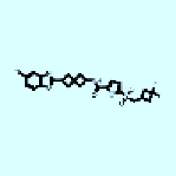 O=C(NC1CC2(C1)CC(c1nc3cc(Cl)ccc3o1)C2)c1ccc(S(=O)(=O)CC2CC(F)(F)C2)o1